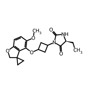 CC[C@@H]1NC(=O)N(C2CC(Oc3c(OC)ccc4c3C3(CC3)CO4)C2)C1=O